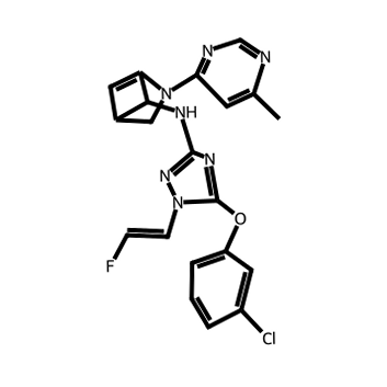 Cc1cc(N2CC3C=C2C3Nc2nc(Oc3cccc(Cl)c3)n(/C=C/F)n2)ncn1